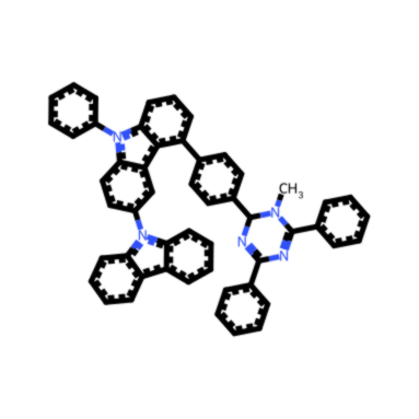 CN1C(c2ccccc2)=NC(c2ccccc2)=NC1c1ccc(-c2cccc3c2c2cc(-n4c5ccccc5c5ccccc54)ccc2n3-c2ccccc2)cc1